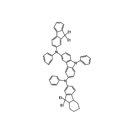 CCC1(CC)c2ccccc2-c2ccc(N(c3ccccc3)c3ccc4c(c3)c3cc(N(c5ccccc5)c5ccc6c(c5)C(CC)(CC)C5CCCCC65)ccc3n4-c3ccccc3)cc21